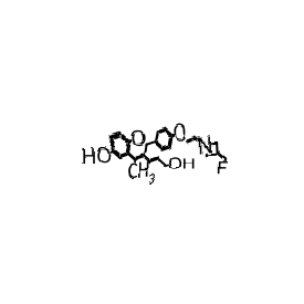 CC1=C(C=CCO)C(c2ccc(OCCN3CC(CF)C3)cc2)Oc2ccc(O)cc21